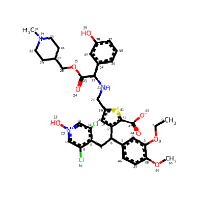 CCOc1cc(C(Cc2c(Cl)c[n+](O)cc2Cl)c2cc(CNC(C(=O)OCC3CCN(C)CC3)c3cccc(O)c3)sc2C(=O)[O-])ccc1OC